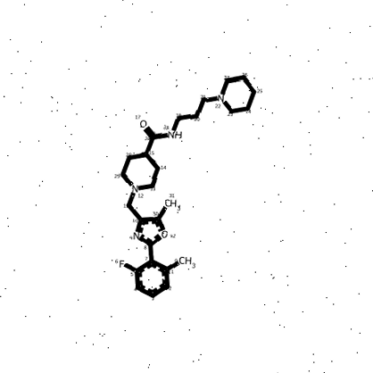 Cc1cccc(F)c1-c1nc(CN2CCC(C(=O)NCCCN3CCCCC3)CC2)c(C)o1